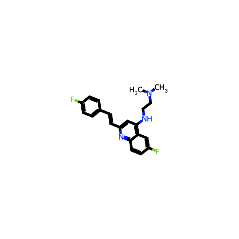 CN(C)CCNc1cc(C=Cc2ccc(F)cc2)nc2ccc(F)cc12